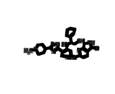 CN1CCC(c2noc(-c3cnc(Nc4ccc5c(n4)CNC5=O)cc3N[C@H](CO)c3ccccc3)n2)CC1